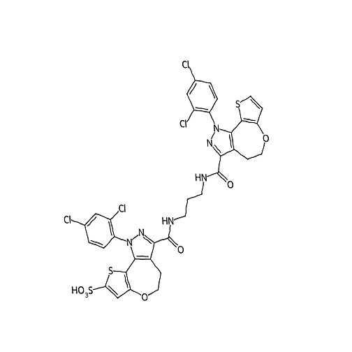 O=C(NCCCNC(=O)c1nn(-c2ccc(Cl)cc2Cl)c2c1CCOc1cc(S(=O)(=O)O)sc1-2)c1nn(-c2ccc(Cl)cc2Cl)c2c1CCOc1ccsc1-2